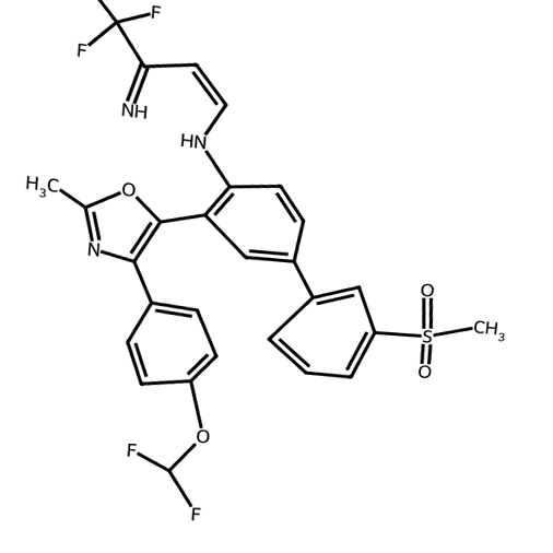 Cc1nc(-c2ccc(OC(F)F)cc2)c(-c2cc(-c3cccc(S(C)(=O)=O)c3)ccc2N/C=C\C(=N)C(F)(F)F)o1